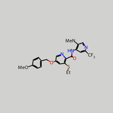 CCSc1cc(OCc2ccc(OC)cc2)cnc1C(=O)Nc1cc(C(F)(F)F)ncc1NC